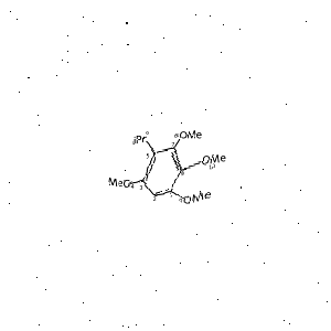 COc1cc(OC)c(C(C)C)c(OC)c1OC